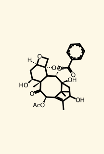 CC(=O)O[C@H]1C(=O)[C@@]2(C)C([C@H](OC(=O)c3ccccc3)[C@]3(O)CC(O)C(C)=C1C3(C)C)[C@]1(OC(C)=O)CO[C@@H]1C[C@@H]2O